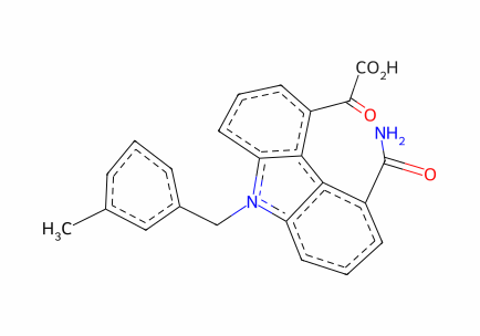 Cc1cccc(Cn2c3cccc(C(N)=O)c3c3c(C(=O)C(=O)O)cccc32)c1